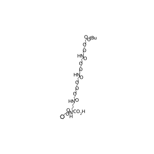 CC(C)(C)OC(=O)CCOCCOCCNC(=O)CCOCCOCCNC(=O)CCOCCOCCOCCC(=O)NCCCCC(NC(=O)OCc1ccccc1)C(=O)O